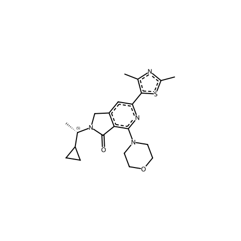 Cc1nc(C)c(-c2cc3c(c(N4CCOCC4)n2)C(=O)N([C@@H](C)C2CC2)C3)s1